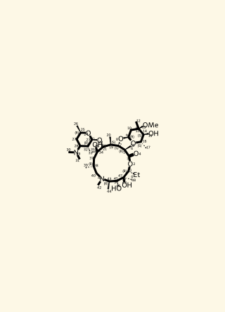 CC[C@H]1OC(=O)[C@H](C)[C@@H](O[C@H]2C[C@@](C)(OC)[C@@H](O)[C@H](C)O2)[C@H](C)[C@@H](O[C@@H]2O[C@H](C)CC(N(C)C)[C@H]2C)[C@](C)(O)C[C@@H](C)CN(C)[C@H](C)[C@@H](O)[C@]1(C)O